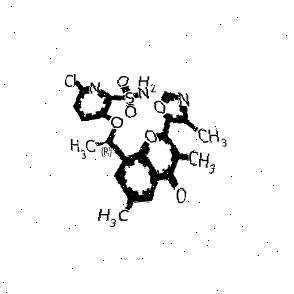 Cc1cc([C@@H](C)Oc2ccc(Cl)nc2S(N)(=O)=O)c2oc(-c3ocnc3C)c(C)c(=O)c2c1